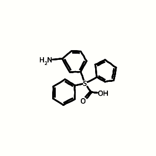 Nc1cccc(S(C(=O)O)(c2ccccc2)c2ccccc2)c1